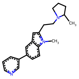 CC1CCCN1CCc1cc2cc(-c3cccnc3)ccc2n1C